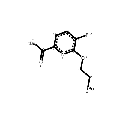 CC(C)(C)CCOc1nc(C(=O)C(C)(C)C)ccc1F